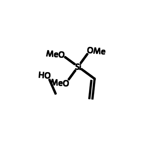 C=C[Si](OC)(OC)OC.CO